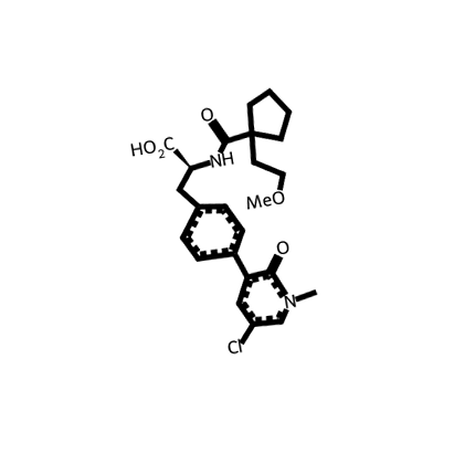 COCCC1(C(=O)N[C@@H](Cc2ccc(-c3cc(Cl)cn(C)c3=O)cc2)C(=O)O)CCCC1